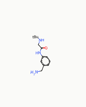 CC(C)(C)NCC(=O)Nc1cccc(CN)c1